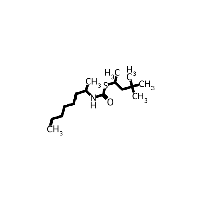 CCCCCCC(C)NC(=O)SC(C)CC(C)(C)C